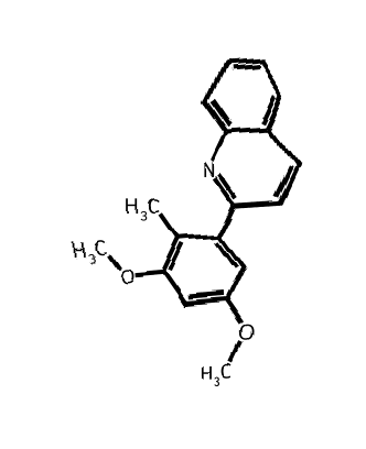 COc1cc(OC)c(C)c(-c2ccc3ccccc3n2)c1